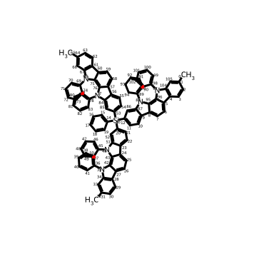 Cc1ccc2c3ccc4c5ccc([Si](c6ccccc6)(c6ccc7c8ccc9c%10ccc(C)cc%10n(-c%10ccccc%10)c9c8n(-c8ccccc8)c7c6)c6ccc7c8ccc9c%10ccc(C)cc%10n(-c%10ccccc%10)c9c8n(-c8ccccc8)c7c6)cc5n(C5=CC=CCC5)c4c3n(-c3ccccc3)c2c1